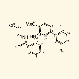 COc1cnc(-c2cc(Cl)ccc2F)nc1Nc1ccncc1C(=O)NCCCl